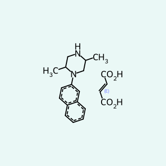 CC1CN(c2ccc3ccccc3c2)C(C)CN1.O=C(O)/C=C/C(=O)O